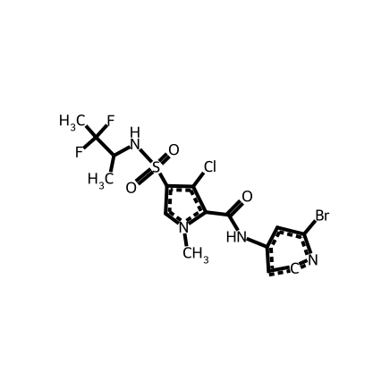 CC(NS(=O)(=O)c1cn(C)c(C(=O)Nc2ccnc(Br)c2)c1Cl)C(C)(F)F